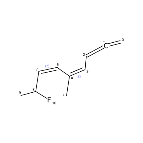 C=C=C/C=C(C)\C=C/C(C)F